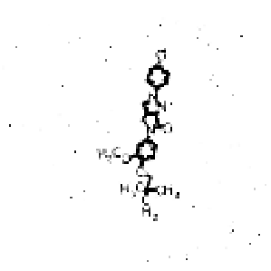 COc1cc(N2Cc3cn(-c4ccc(Cl)cc4)nc3C2=O)ccc1OCC(C)(C)C